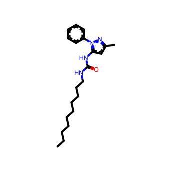 CCCCCCCCCCNC(=O)Nc1cc(C)nn1-c1ccccc1